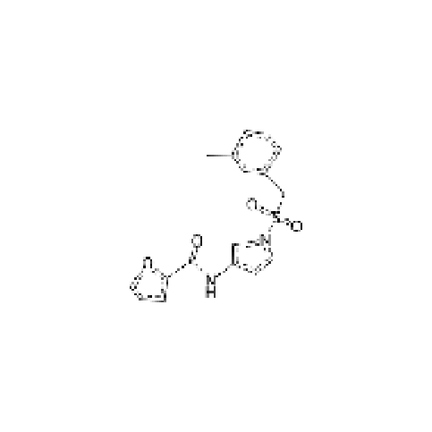 Cc1cccc(CS(=O)(=O)n2ccc(NC(=O)c3ccco3)c2)c1